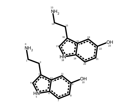 NCCc1c[nH]c2ccc(O)cc12.NCCc1c[nH]c2ccc(O)cc12